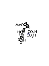 COc1cnc2ccc(=O)n(CCN3C[C@H](CNCc4ccc5c(n4)NC(=O)CO5)[C@H](O)C3)c2c1.O=C(O)/C=C/C(=O)O